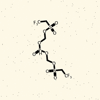 O=[PH](OCOS(=O)(=O)CC(F)(F)F)OCOS(=O)(=O)CC(F)(F)F